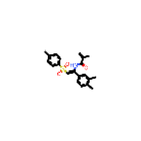 C=C(C)C(=O)NC(=CS(=O)(=O)c1ccc(C)cc1)c1ccc(C)c(C)c1